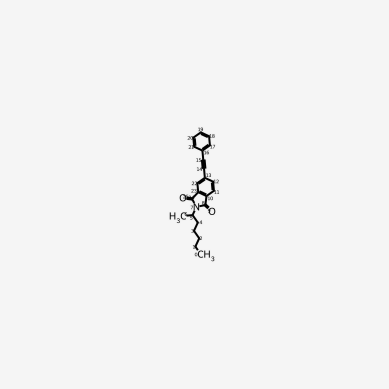 CCCCCC(C)N1C(=O)c2ccc(C#Cc3ccccc3)cc2C1=O